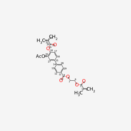 C=C(C)C(=O)OCCOC(=O)c1ccc(-c2ccc(OC(=O)C(=C)C)c(OC(C)=O)c2)cc1